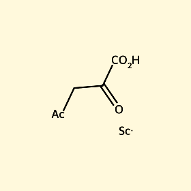 CC(=O)CC(=O)C(=O)O.[Sc]